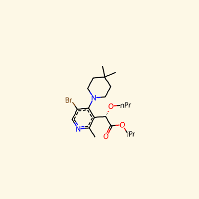 CCCO[C@H](C(=O)OC(C)C)c1c(C)ncc(Br)c1N1CCC(C)(C)CC1